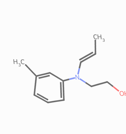 CC=CN(CCO)c1cccc(C)c1